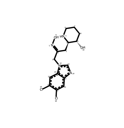 O/N=C(\C[C@H]1NCCC[C@@H]1O)Cn1cnc2cc(Cl)c(Cl)cc21